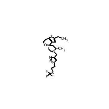 CCc1cc2c(s1)CCO[C@@]21CCN(Cc2cn(CCSC(F)(F)F)nn2)[C@@H](C)C1